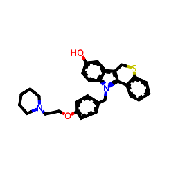 Oc1ccc2c(c1)c1c(n2Cc2ccc(OCCN3CCCCC3)cc2)-c2ccccc2SC1